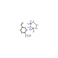 C=Cc1ccc(C(=O)O)cc1.CN1C(C)(C)CCCC1(C)C